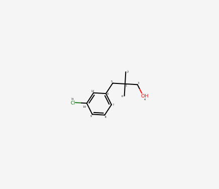 CC(C)(CO)Cc1cccc(Cl)c1